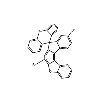 Brc1ccc2c(c1)C1(c3ccccc3Sc3ccccc31)c1cc(Br)c3sc4ccccc4c3c1-2